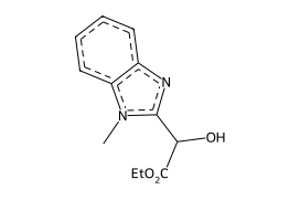 CCOC(=O)C(O)c1nc2ccccc2n1C